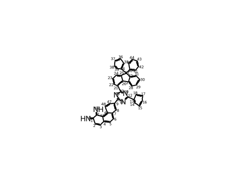 N=C1C=Cc2ccc3cc(-c4nc(-c5ccccc5)nc(-c5cccc6c5-c5ccccc5C6(c5ccccc5)c5ccccc5)n4)ccc3c2C1=N